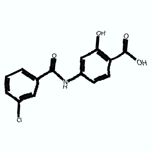 O=C(Nc1ccc(C(=O)O)c(O)c1)c1cccc(Cl)c1